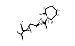 C=C(C)C(=O)OCCOC(C)N1CCCCCC1=O